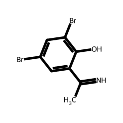 CC(=N)c1cc(Br)cc(Br)c1O